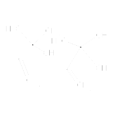 C=CC(C)(C)C.C=CC(C)(C)C